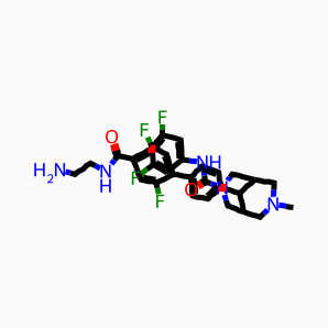 CN1CC2CN(C(=O)Nc3cc(F)cc(F)c3)CC(C1)C2c1ccc(-c2cc(F)c(C(=O)NCCN)cc2F)cc1